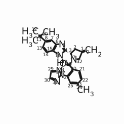 C=C1C[C@@H](c2nc3cc(C(C)(C)C)ccc3[nH]2)N(C(=O)c2ccc(C)cc2-n2nccn2)C1